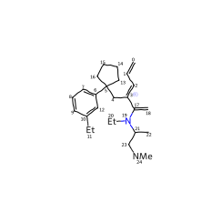 C=C/C=C(\CC1(c2cccc(CC)c2)CCCC1)C(=C)N(CC)C(C)CNC